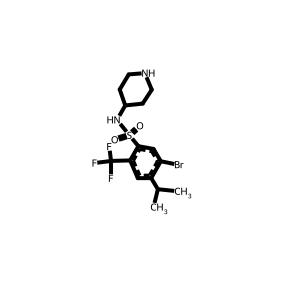 CC(C)c1cc(C(F)(F)F)c(S(=O)(=O)NC2CCNCC2)cc1Br